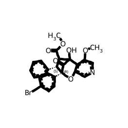 COC(=O)C1[C@@H](c2ccccc2)[C@]2(c3ccc(Br)cc3)Oc3cncc(OC)c3C1(O)C2=O